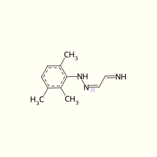 Cc1ccc(C)c(N/N=C\C=N)c1C